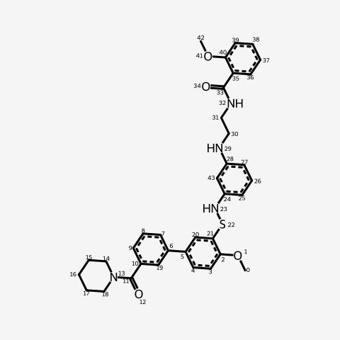 COc1ccc(-c2cccc(C(=O)N3CCCCC3)c2)cc1SNc1cccc(NCCNC(=O)c2ccccc2OC)c1